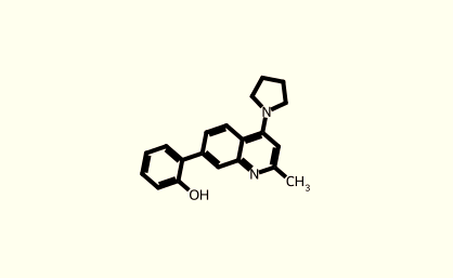 Cc1cc(N2CCCC2)c2ccc(-c3ccccc3O)cc2n1